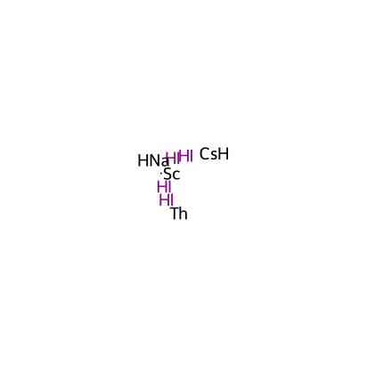 I.I.I.I.[CsH].[NaH].[Sc].[Th]